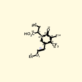 CCO/C=C/c1cn(C(CC(C)C)C(=O)O)c(=O)c(F)c1C(F)(F)F